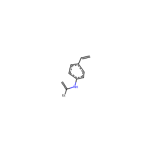 C=Cc1ccc(NC(=C)CC)cc1